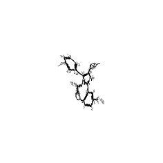 Fc1ccc2c(c1)-c1nc(Br)c(-c3ccccc3)n1CO2